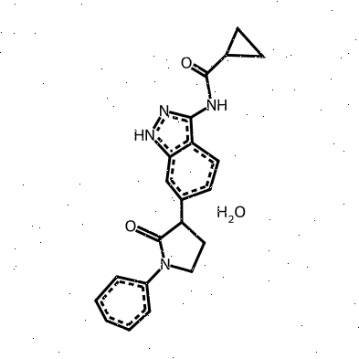 O.O=C(Nc1n[nH]c2cc(C3CCN(c4ccccc4)C3=O)ccc12)C1CC1